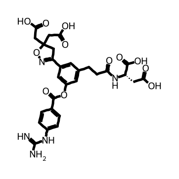 N=C(N)Nc1ccc(C(=O)Oc2cc(CCC(=O)N[C@@H](CC(=O)O)C(=O)O)cc(C3=NOC(CC(=O)O)(CC(=O)O)C3)c2)cc1